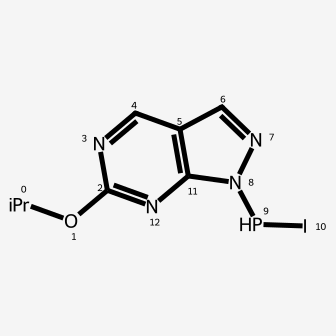 CC(C)Oc1ncc2cnn(PI)c2n1